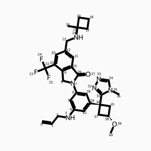 C=CCNc1cc(N2Cc3c(cc(CNC4(C)CCC4)cc3C(F)(F)F)C2=O)cc([C@]2(c3nncn3C)C[C@@H](OC)C2)c1